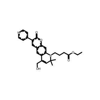 CCOC(=O)CCCN1c2cc3oc(=O)c(-c4ccncc4)cc3cc2C(CO)=CC1(C)C